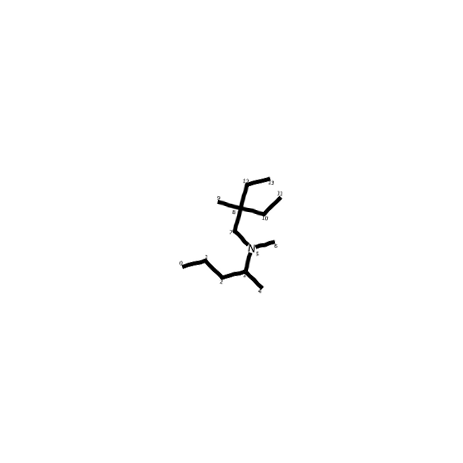 CCCC(C)N(C)CC(C)(CC)CC